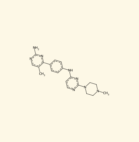 Cc1cnc(N)nc1-c1ccc(Nc2ccnc(N3CCN(C)CC3)n2)cc1